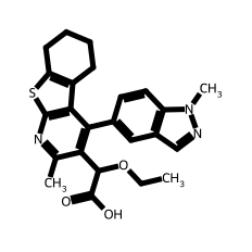 CCOC(C(=O)O)c1c(C)nc2sc3c(c2c1-c1ccc2c(cnn2C)c1)CCCC3